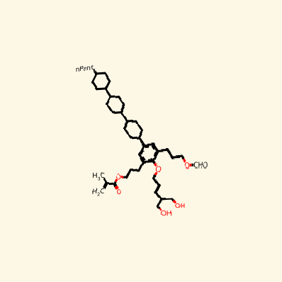 C=C(C)C(=O)OCCCc1cc(C2CCC(C3CCC(C4CCC(CCCCC)CC4)CC3)CC2)cc(CCCOC=O)c1OCCCC(CO)CO